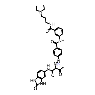 CCN(CC)CCCNC(=O)c1cccc(NC(=O)c2ccc(/N=N/C(C(C)=O)C(=O)Nc3ccc4[nH]c(=O)[nH]c4c3)cc2)c1